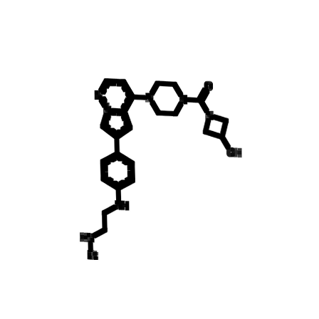 CCNCCNc1ccc(-c2cc3c(N4CCN(C(=O)N5CC(O)C5)CC4)ccnn3c2)cc1